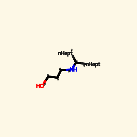 CCCCCCCC(CCCCCCC)NCCCO